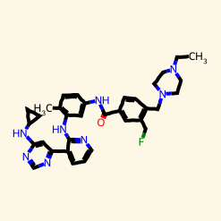 CCN1CCN(Cc2ccc(C(=O)Nc3ccc(C)c(Nc4ncccc4-c4cc(NC5CC5)ncn4)c3)cc2CF)CC1